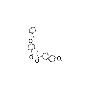 COc1ccc2cc(C(=O)C3Cc4cc(OCc5ccccc5)ccc4C3=O)ccc2c1